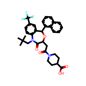 CC(C)(C)CN1C(=O)C(CC(=O)N2CCC(C(=O)O)CC2)OC(c2cccc3ccccc23)c2cc(C(F)(F)F)ccc21